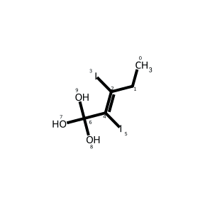 CCC(I)=C(I)C(O)(O)O